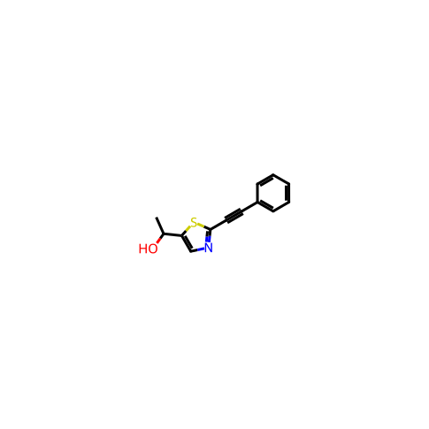 CC(O)c1cnc(C#Cc2ccccc2)s1